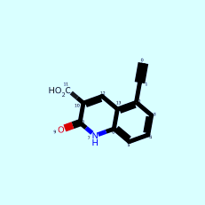 C#Cc1cccc2[nH]c(=O)c(C(=O)O)cc12